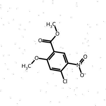 COC(=O)c1cc([N+](=O)[O-])c(Cl)cc1OC